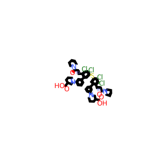 O=C(O)C1CCCN(c2cccc(-c3cc(Sc4cc(-c5cccc(N6CCCC(C(=O)O)C6)c5)c(/C=C/C(=O)N5CC=CCC5)c(Cl)c4Cl)c(Cl)c(Cl)c3/C=C/C(=O)N3CC=CCC3)c2)C1